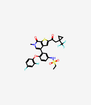 CCS(=O)(=O)Nc1ccc(Oc2ccc(F)cc2F)c(-c2cn(C)c(=O)c3sc(C(=O)CC4(C(F)(F)F)CC4)cc23)c1